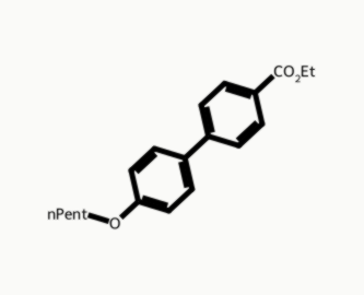 CCCCCOc1ccc(-c2ccc(C(=O)OCC)cc2)cc1